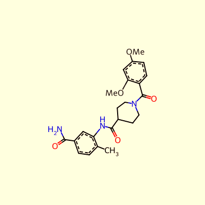 COc1ccc(C(=O)N2CCC(C(=O)Nc3cc(C(N)=O)ccc3C)CC2)c(OC)c1